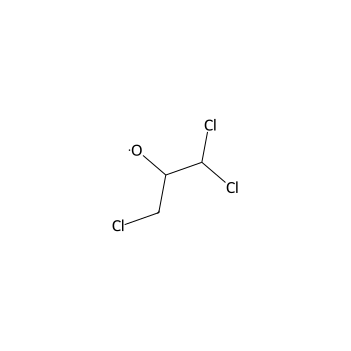 [O]C(CCl)C(Cl)Cl